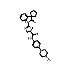 CC(=O)N1CCN(c2ccc(NC(=O)c3nnc(NC(=O)C4(c5ccccc5)CCCC4)o3)cc2)CC1